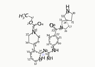 CCOC(=O)N1CC=C(c2ccc[nH]/c2=N\C(=N)Nc2ccc(C(=O)N3CCC4(CCNC4)C3)cc2)CC1